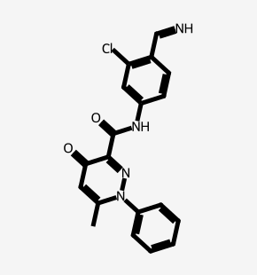 Cc1cc(=O)c(C(=O)Nc2ccc(C=N)c(Cl)c2)nn1-c1ccccc1